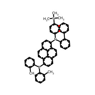 Cc1ccccc1B(c1ccccc1C)c1ccc2ccc3c(N(c4ccc([Si](C)(C)C)cc4)c4ccccc4-c4ccccc4)ccc4ccc1c2c43